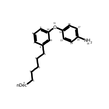 CCCCCCCCCCCCCCCc1cccc(Oc2ccc(N)cc2)c1